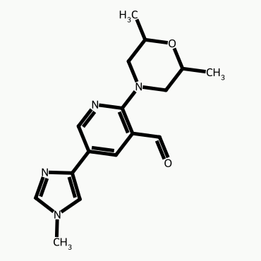 CC1CN(c2ncc(-c3cn(C)cn3)cc2C=O)CC(C)O1